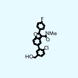 CNC(=O)c1c(-c2ccc(F)cc2)oc2ccc(-c3cc(CO)ccc3Cl)cc12